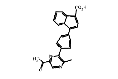 Cc1ncc(C(N)=O)nc1-c1ccc(-c2ccc(C(=O)O)c3ccccc23)cc1